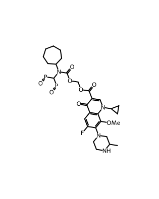 COc1c(N2CCNC(C)C2)c(F)cc2c(=O)c(C(=O)OCOC(=O)N(C3CCCCCC3)C(P=O)P=O)cn(C3CC3)c12